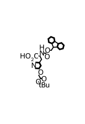 CC(C)(C)OC(=O)COc1cncc(C[C@H](NC(=O)OCC2c3ccccc3-c3ccccc32)C(=O)O)c1